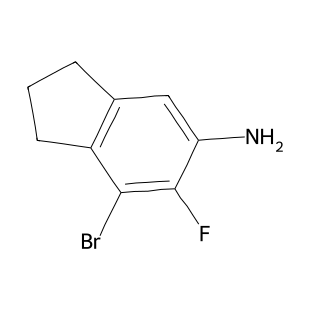 Nc1cc2c(c(Br)c1F)CCC2